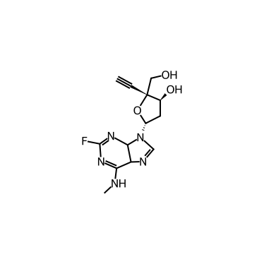 C#C[C@]1(CO)O[C@@H](N2C=NC3C(NC)=NC(F)=NC32)C[C@@H]1O